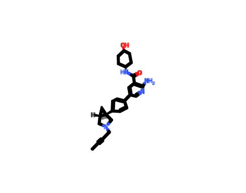 CC#CCN1C[C@@H]2C[C@]2(c2ccc(-c3cnc(N)c(C(=O)N[C@H]4CC[C@H](O)CC4)c3)cc2)C1